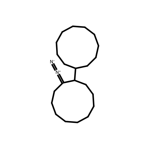 [N-]=[N+]=C1CCCCCCCCCC1C1CCCCCCCCCC1